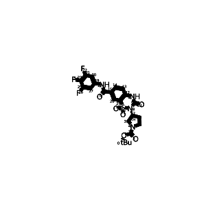 CC(C)(C)OC(=O)N1CC[C@H](N2C(=O)Nc3ccc(C(=O)Nc4cc(F)c(F)c(F)c4)cc3S2(=O)=O)C1